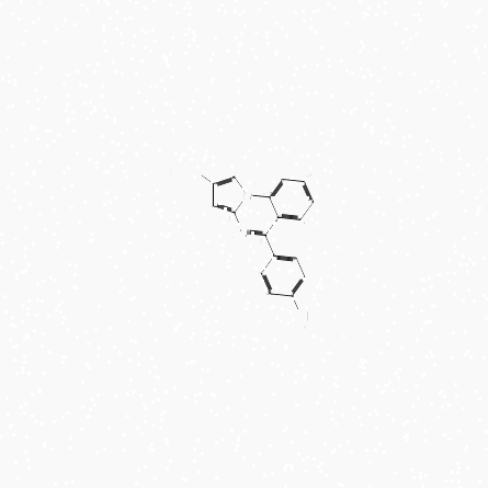 O=C(O)c1cc2nc(-c3ccc(C(F)(F)F)cc3)c3ccccc3n2c1